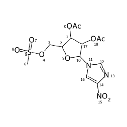 CC(=O)OC1C(COS(C)(=O)=O)OC(n2cnc([N+](=O)[O-])c2)C1OC(C)=O